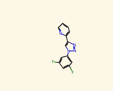 Fc1cc(F)cc(-n2cc(-c3ccccn3)nn2)c1